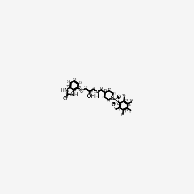 Cc1c(C)c(C)c(S(=O)(=O)N2CCC(CNC[C@@H](O)COc3cccc4[nH]c(=O)[nH]c34)CC2)c(C)c1C